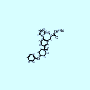 CC(C)(C)OC(=O)N1Cc2cc(C3(F)CCC(Oc4ccccc4)CC3)ccc2-n2cnnc2C1